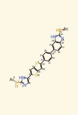 CC(=O)Pc1ncc(-c2cc3sc(-c4ccc(-c5ccc6nc(PC(C)=O)[nH]c6c5)cc4)cc3s2)[nH]1